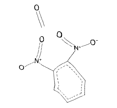 C=O.O=[N+]([O-])c1ccccc1[N+](=O)[O-]